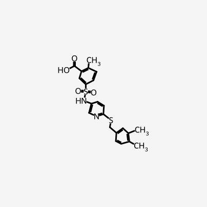 Cc1ccc(CSc2ccc(NS(=O)(=O)c3ccc(C)c(C(=O)O)c3)cn2)cc1C